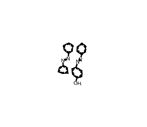 Oc1ccc(N=Nc2ccccc2)cc1.c1ccc(N=Nc2ccccc2)cc1